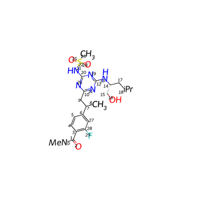 CNC(=O)c1ccc(C(C)Cc2nc(N[C@@H](CO)CC(C)C)nc(NS(C)(=O)=O)n2)cc1F